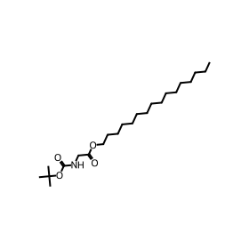 CCCCCCCCCCCCCCCCOC(=O)CNC(=O)OC(C)(C)C